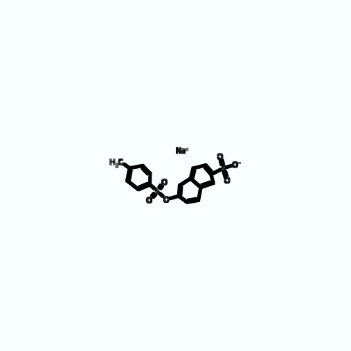 Cc1ccc(S(=O)(=O)Oc2ccc3cc(S(=O)(=O)[O-])ccc3c2)cc1.[Na+]